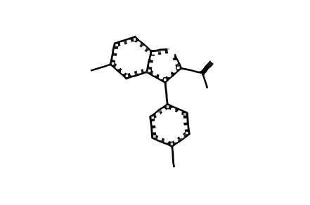 Cc1ccc(-c2c(C(=O)Cl)oc3ccc(C)cc23)cc1